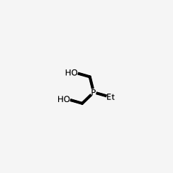 CCP(CO)CO